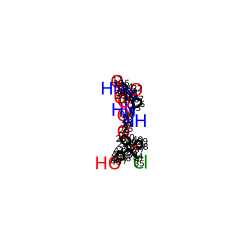 O=C(CNc1cccc2c1C(=O)N(C1CCC(=O)NC1=O)C2=O)NCCOc1ccc(C(=C(CCCl)c2ccccc2)c2ccc(O)cc2)cc1